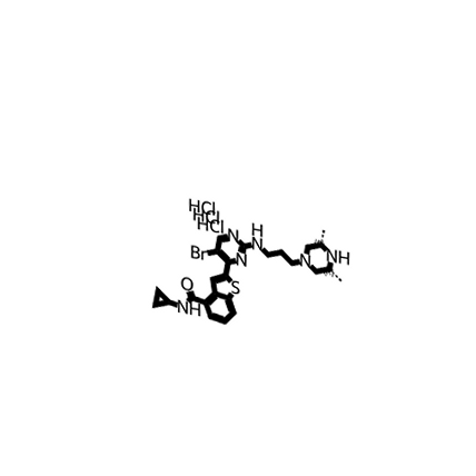 C[C@@H]1CN(CCCNc2ncc(Br)c(-c3cc4c(C(=O)NC5CC5)cccc4s3)n2)C[C@H](C)N1.Cl.Cl.Cl